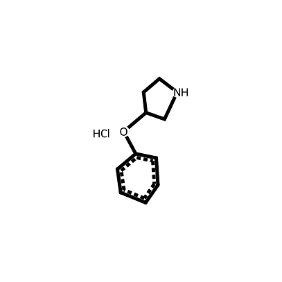 Cl.c1ccc(OC2CCNC2)cc1